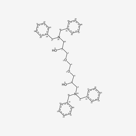 OC(COCOCC(O)CN(Cc1ccccc1)Cc1ccccc1)CN(Cc1ccccc1)Cc1ccccc1